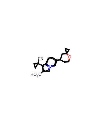 N#CC1(c2c(C(=O)O)cn3cc(C4CCOC5(CC5)C4)ccc23)CC1